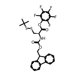 CC(C)(C)SSC[C@H](NC(=O)OCC1c2ccccc2-c2ccccc21)C(=O)Oc1c(F)c(F)c(F)c(F)c1F